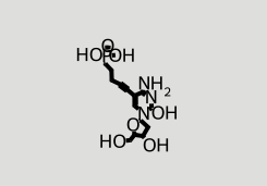 NC1=NC(O)N(C2CC(O)C(CO)O2)C=C1C#CCCCP(=O)(O)O